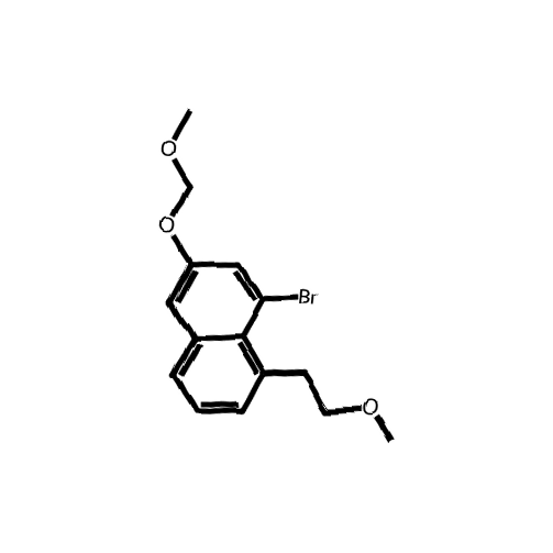 COCCc1cccc2cc(OCOC)cc(Br)c12